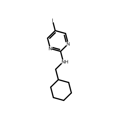 Ic1cnc(NCC2CCCCC2)nc1